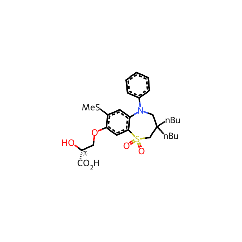 CCCCC1(CCCC)CN(c2ccccc2)c2cc(SC)c(OC[C@@H](O)C(=O)O)cc2S(=O)(=O)C1